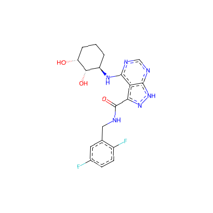 O=C(NCc1cc(F)ccc1F)c1n[nH]c2ncnc(N[C@@H]3CCC[C@@H](O)[C@H]3O)c12